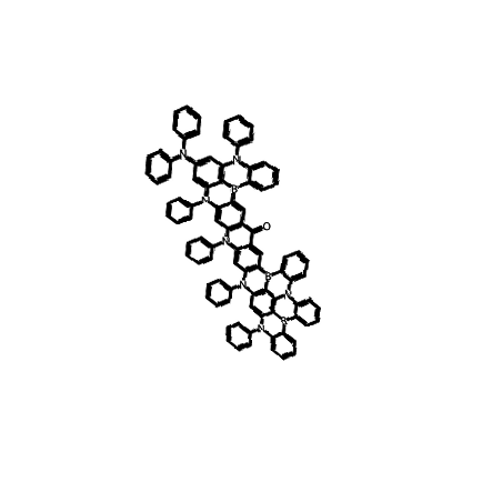 O=c1c2cc3c(cc2n(-c2ccccc2)c2cc4c(cc12)B1c2ccccc2N2c5ccccc5B5c6ccccc6N(c6ccccc6)c6cc(c1c2c65)N4c1ccccc1)N(c1ccccc1)c1cc(N(c2ccccc2)c2ccccc2)cc2c1B3c1ccccc1N2c1ccccc1